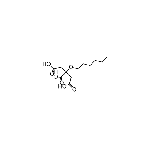 CCCCCCOC(CC(=O)O)(CC(=O)O)C(=O)O